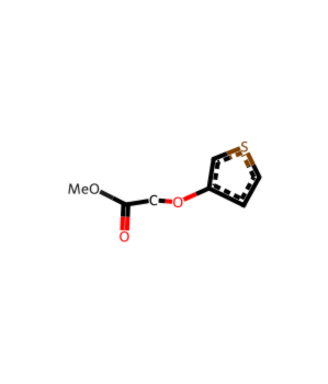 COC(=O)COc1ccsc1